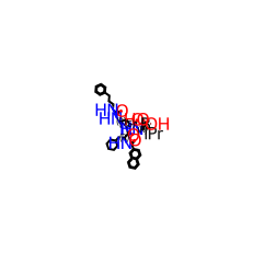 CC(C)[C@H](NC(=O)[C@@H]1C[C@@H](NC(=O)NCCCc2ccccc2)CN1C(=O)[C@@H](CC1CCCCC1)NC(=O)c1ccc2ccccc2c1)B(O)O